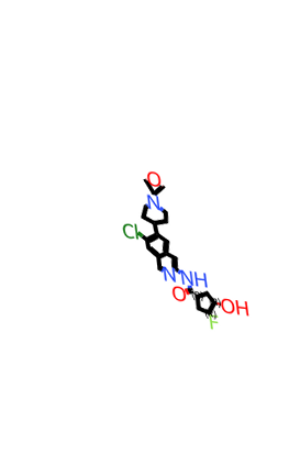 O=C(Nc1cc2cc(C3CCN(C4COC4)CC3)c(Cl)cc2cn1)[C@@H]1C[C@@H](O)[C@H](F)C1